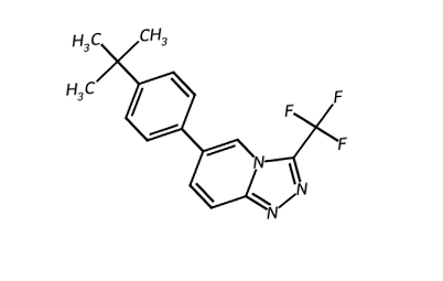 CC(C)(C)c1ccc(-c2ccc3nnc(C(F)(F)F)n3c2)cc1